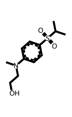 CC(C)S(=O)(=O)c1ccc(N(C)CCO)cc1